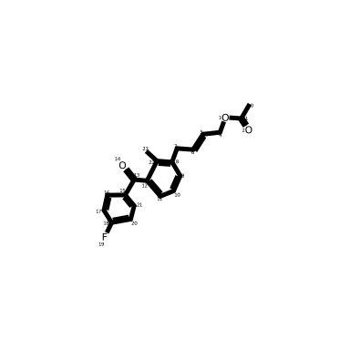 CC(=O)OCC=CCc1cccc(C(=O)c2ccc(F)cc2)c1C